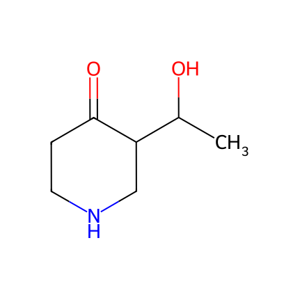 CC(O)C1CNCCC1=O